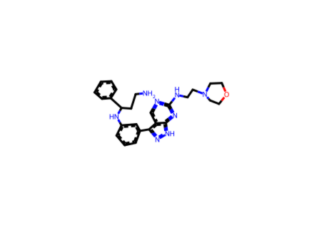 NCCC(Nc1cccc(-c2n[nH]c3nc(NCCN4CCOCC4)ncc23)c1)c1ccccc1